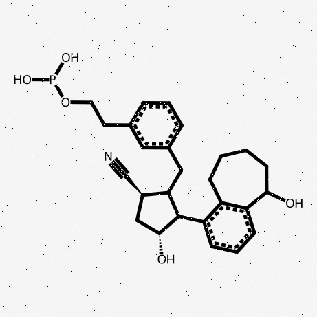 N#C[C@@H]1C[C@@H](O)C(c2cccc3c2CCCCC3O)C1Cc1cccc(CCOP(O)O)c1